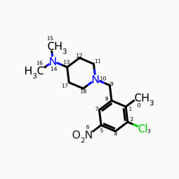 Cc1c(Cl)cc([N+](=O)[O-])cc1CN1CCC(N(C)C)CC1